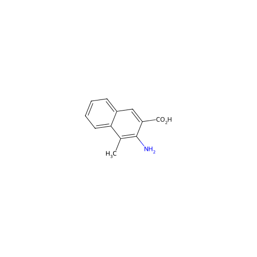 Cc1c(N)c(C(=O)O)cc2ccccc12